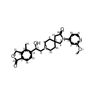 COc1cc(N2CC3(CCN(C[C@H](O)c4ccc5c(c4C)COC5=O)CC3)CC2=O)ccn1